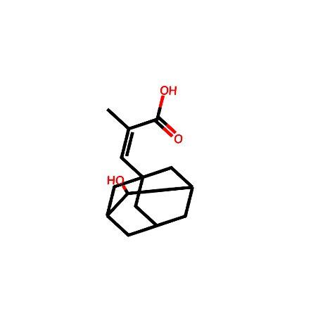 CC(=CC12CC3CC(C1)C(O)C(C3)C2)C(=O)O